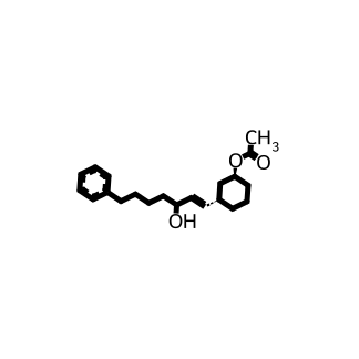 CC(=O)O[C@H]1CCC[C@H](C=CC(O)CCCCc2ccccc2)C1